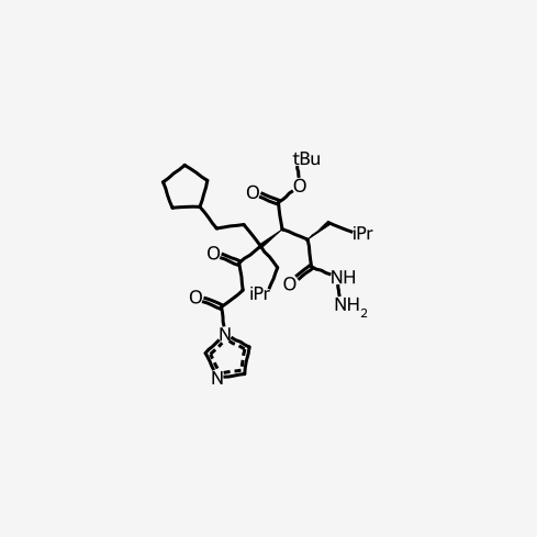 CC(C)C[C@@H](C(=O)NN)[C@H](C(=O)OC(C)(C)C)C(CCC1CCCC1)(CC(C)C)C(=O)CC(=O)n1ccnc1